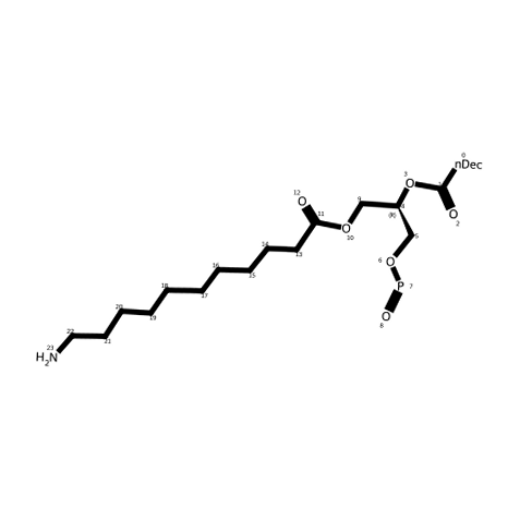 CCCCCCCCCCC(=O)O[C@@H](COP=O)COC(=O)CCCCCCCCCCN